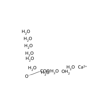 O.O.O.O.O.O.O.O.O.O.O=C([O-])[O-].[Ca+2]